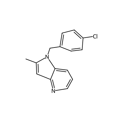 Cc1cc2ncccc2n1Cc1ccc(Cl)cc1